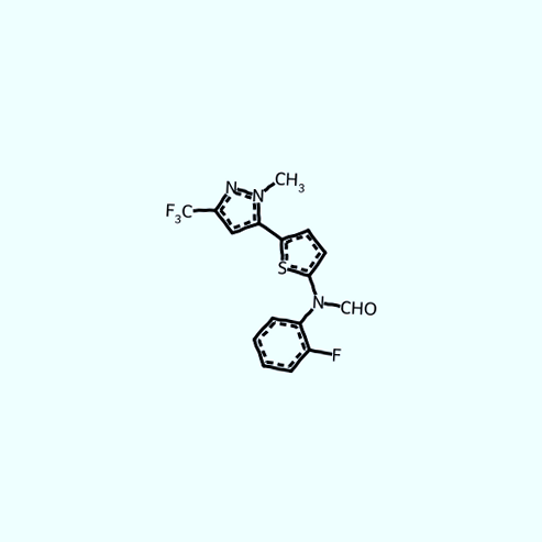 Cn1nc(C(F)(F)F)cc1-c1ccc(N(C=O)c2ccccc2F)s1